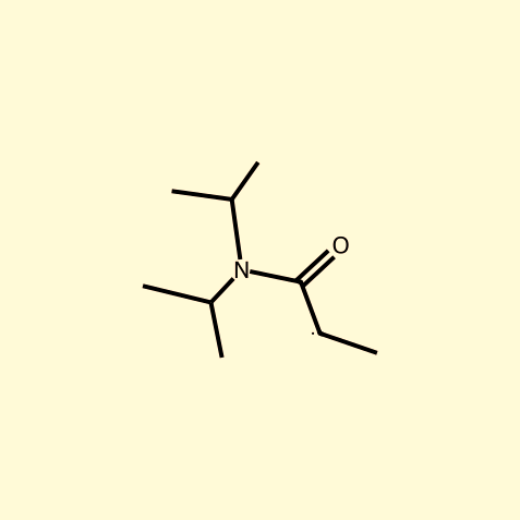 C[CH]C(=O)N(C(C)C)C(C)C